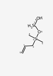 C=CC[Si](C)(C)O[SiH2]O